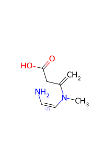 C=C(CC(=O)O)N(C)/C=C\N